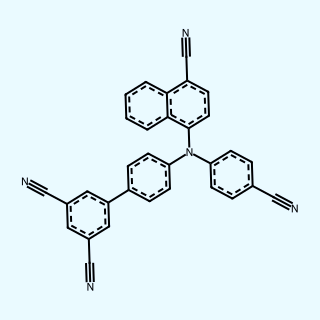 N#Cc1ccc(N(c2ccc(-c3cc(C#N)cc(C#N)c3)cc2)c2ccc(C#N)c3ccccc23)cc1